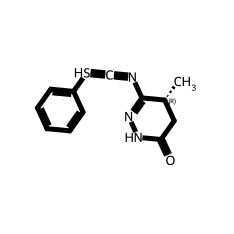 C[C@@H]1CC(=O)NN=C1N=C=[SH]c1ccccc1